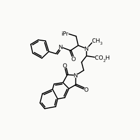 CC(C)CC(C(=O)N=Cc1ccccc1)N(C)C(CCN1C(=O)c2cc3ccccc3cc2C1=O)C(=O)O